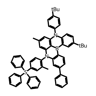 Cc1cc2c3c(c1)N(c1ccc(S(c4ccccc4)(c4ccccc4)c4ccccc4)cc1C)c1cc(-c4ccccc4)ccc1B3c1cc(C(C)(C)C)ccc1N2c1ccc(C(C)(C)C)cc1